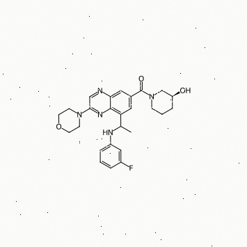 CC(Nc1cccc(F)c1)c1cc(C(=O)N2CCC[C@H](O)C2)cc2ncc(N3CCOCC3)nc12